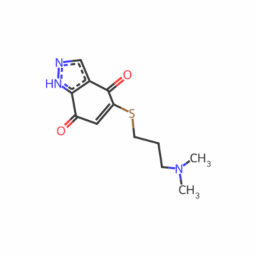 CN(C)CCCSC1=CC(=O)c2[nH]ncc2C1=O